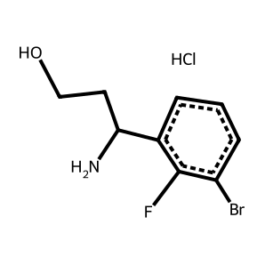 Cl.NC(CCO)c1cccc(Br)c1F